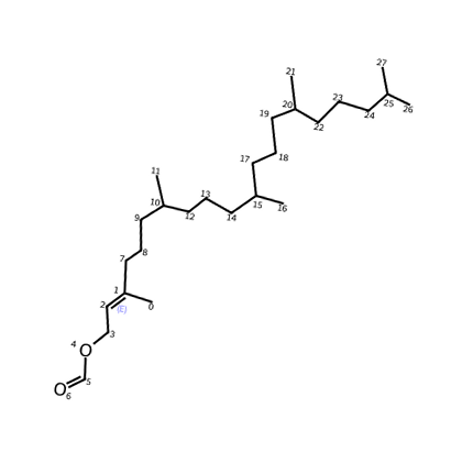 C/C(=C\COC=O)CCCC(C)CCCC(C)CCCC(C)CCCC(C)C